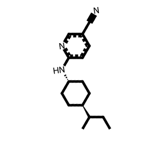 CCC(C)[C@H]1CC[C@H](Nc2ccc(C#N)cn2)CC1